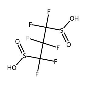 O=S(O)C(F)(F)C(F)(F)C(F)(F)S(=O)O